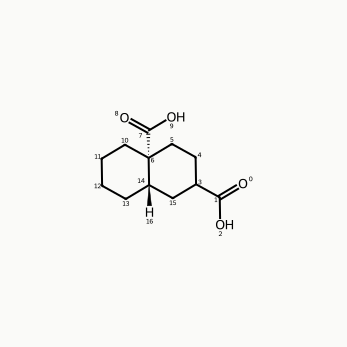 O=C(O)C1CC[C@]2(C(=O)O)CCCC[C@H]2C1